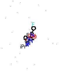 C=C1N=C(c2ccn(CC(C)C)n2)N(c2c(CC)cccc2CC)C(O)=C1C(=O)N1CCC(C2=CC=C(F)C=CC2)C1